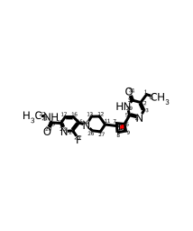 CCc1cnc(C23CC(C2)N(C2CCN(c4ccc(C(=O)NC)nc4F)CC2)C3)[nH]c1=O